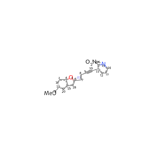 COc1ccc2oc(/C=C/C#Cc3cc[c]nc3[N+](=O)[O-])cc2c1